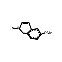 CC[C@H]1C=Cc2cc(OC)ccc2C1